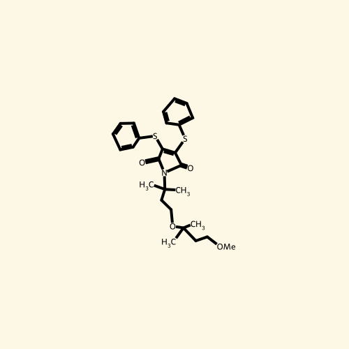 COCCC(C)(C)OCCC(C)(C)N1C(=O)C(Sc2ccccc2)=C(Sc2ccccc2)C1=O